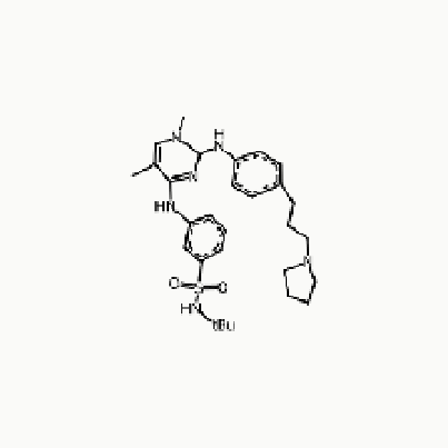 CC1=CN(C)C(Nc2ccc(CCCN3CCCC3)cc2)N=C1Nc1cccc(S(=O)(=O)NC(C)(C)C)c1